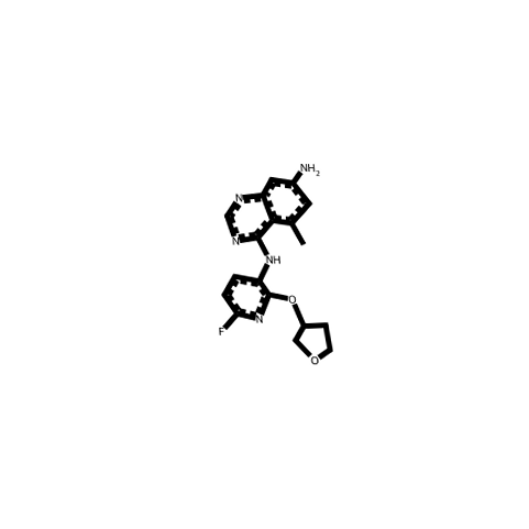 Cc1cc(N)cc2ncnc(Nc3ccc(F)nc3OC3CCOC3)c12